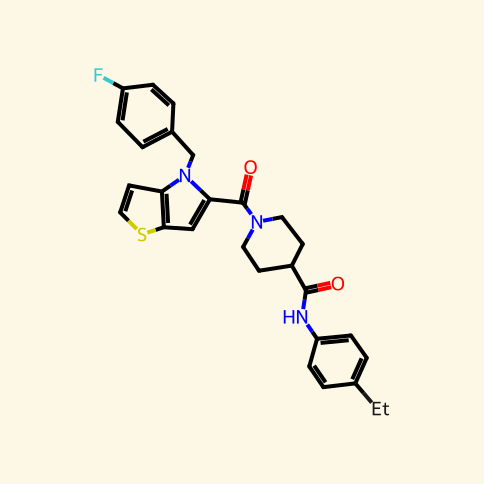 CCc1ccc(NC(=O)C2CCN(C(=O)c3cc4sccc4n3Cc3ccc(F)cc3)CC2)cc1